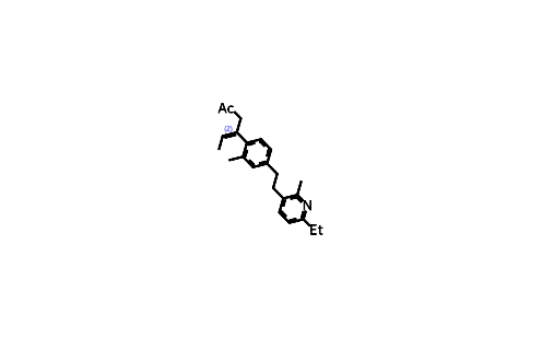 C/C=C(/CC(C)=O)c1ccc(CCc2ccc(CC)nc2C)cc1C